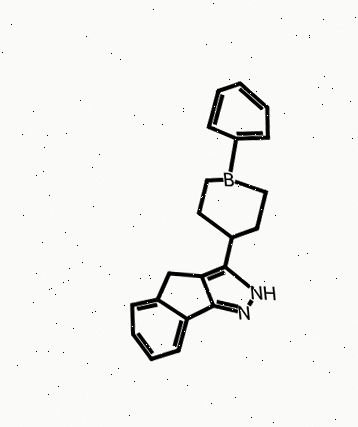 c1ccc(B2CCC(c3[nH]nc4c3Cc3ccccc3-4)CC2)cc1